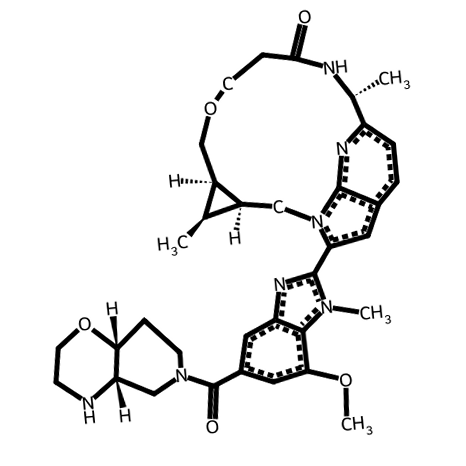 COc1cc(C(=O)N2CC[C@H]3OCCN[C@H]3C2)cc2nc(-c3cc4ccc5nc4n3C[C@H]3[C@@H](C)[C@H]3COCCC(=O)N[C@@H]5C)n(C)c12